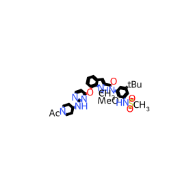 COc1c(NC(=O)c2cc3cccc(Oc4ccnc(NC5CCN(C(C)=O)CC5)n4)c3n2C)cc(C(C)(C)C)cc1NS(C)(=O)=O